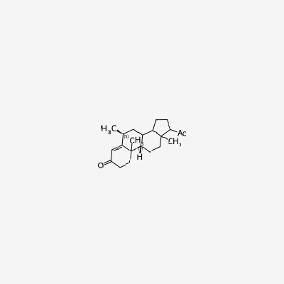 CC(=O)C1CCC2C3C[C@H](C)C4=CC(=O)CCC4(C)[C@H]3CCC12C